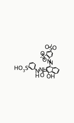 CS(=O)(=O)c1ccc(N=Nc2cc(C(=O)NNc3cccc(S(=O)(=O)O)c3)c(O)c3ccccc23)c(S(C)(=O)=O)c1